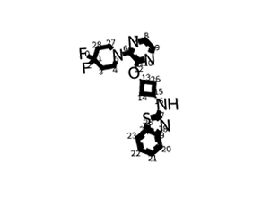 FC1(F)CCN(c2nccnc2O[C@H]2C[C@@H](Nc3nc4ccccc4s3)C2)CC1